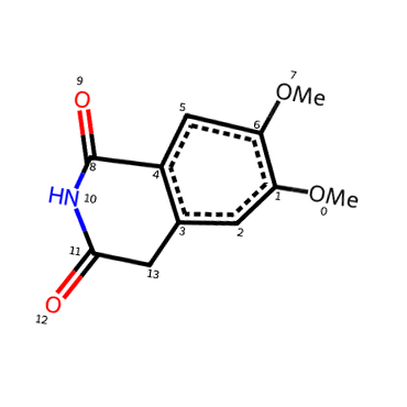 COc1cc2c(cc1OC)C(=O)NC(=O)C2